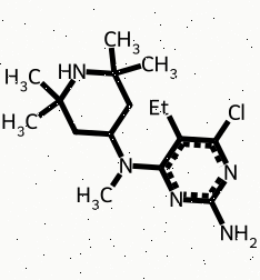 [CH2]Cc1c(Cl)nc(N)nc1N(C)C1CC(C)(C)NC(C)(C)C1